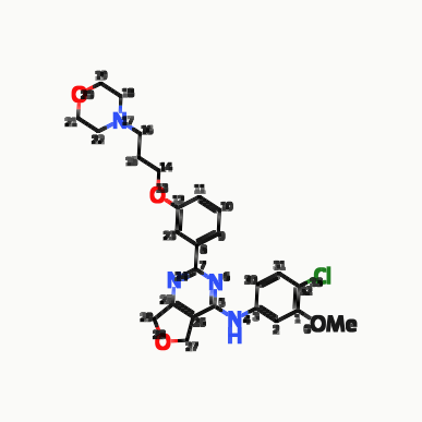 COc1cc(Nc2nc(-c3cccc(OCCCN4CCOCC4)c3)nc3c2COC3)ccc1Cl